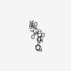 CCN(C(=O)C(C)N(C)S(=O)(=O)N(C)C)c1cn(-c2cccnc2)nc1Cl